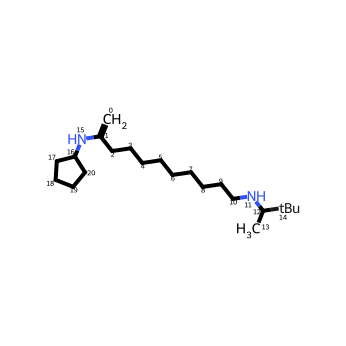 C=C(CCCCCCCCCNC(C)C(C)(C)C)NC1CCCC1